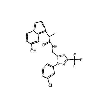 CC(C(=O)NCc1cc(C(F)(F)F)nn1-c1cccc(Cl)c1)c1cccc2ccc(O)cc12